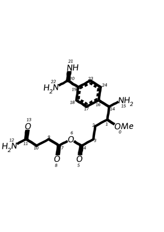 COC(CCC(=O)OC(=O)CCC(N)=O)C(N)c1ccc(C(=N)N)cc1